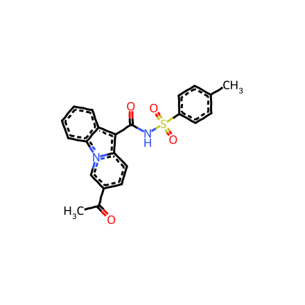 CC(=O)c1ccc2c(C(=O)NS(=O)(=O)c3ccc(C)cc3)c3ccccc3n2c1